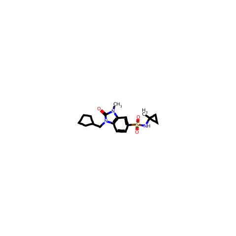 Cn1c(=O)n(CC2CCCC2)c2ccc(S(=O)(=O)NC3(C)CC3)cc21